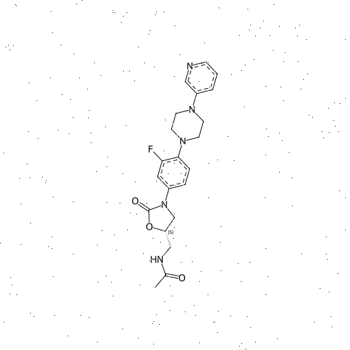 CC(=O)NC[C@H]1CN(c2ccc(N3CCN(c4cccnc4)CC3)c(F)c2)C(=O)O1